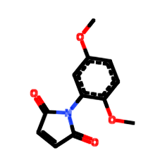 COc1ccc(OC)c(N2C(=O)C=CC2=O)c1